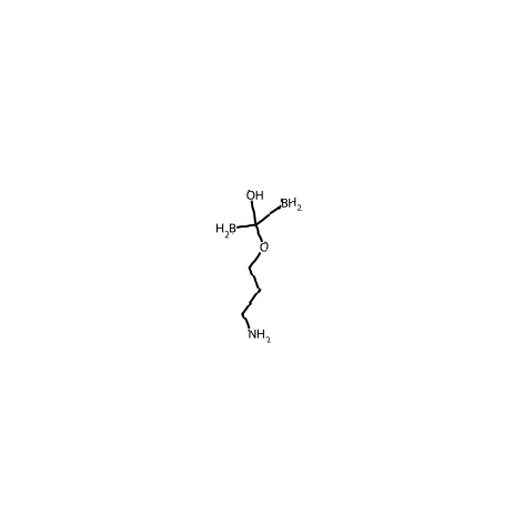 BC(B)(O)OCCCN